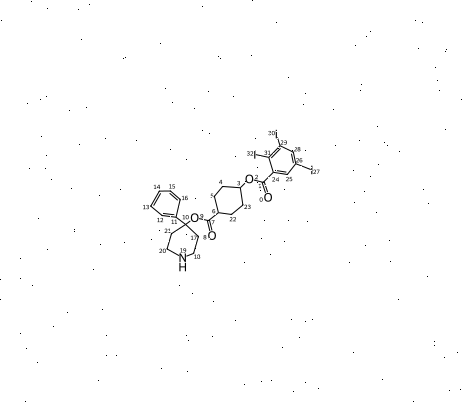 O=C(OC1CCC(C(=O)OC2(c3ccccc3)CCNCC2)CC1)c1cc(I)cc(I)c1I